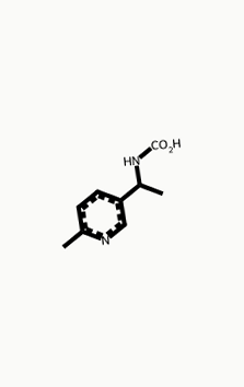 Cc1ccc(C(C)NC(=O)O)cn1